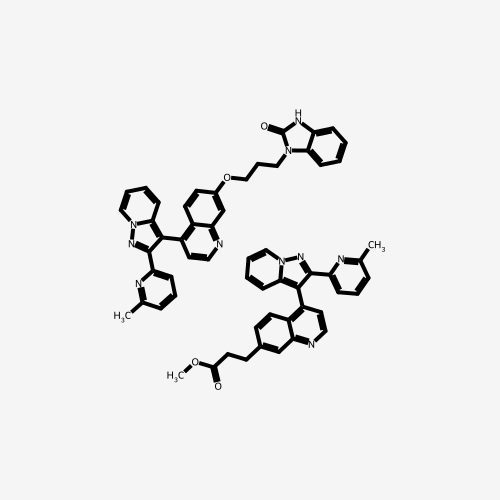 COC(=O)CCc1ccc2c(-c3c(-c4cccc(C)n4)nn4ccccc34)ccnc2c1.Cc1cccc(-c2nn3ccccc3c2-c2ccnc3cc(OCCCn4c(=O)[nH]c5ccccc54)ccc23)n1